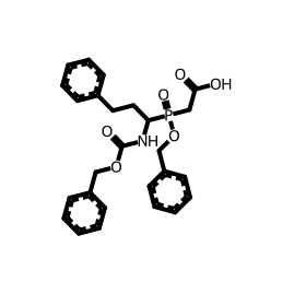 O=C(O)CP(=O)(OCc1ccccc1)C(CCc1ccccc1)NC(=O)OCc1ccccc1